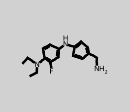 CCN(CC)c1ccc(Nc2ccc(CN)cc2)cc1F